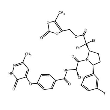 CCC(CC)(C(=O)OCc1oc(=O)oc1C)[C@H]1CC[C@@H](c2cccc(F)c2)N1C(=O)[C@@H](C)NC(=O)c1ccc(Oc2cc(C)n[nH]c2=O)cc1